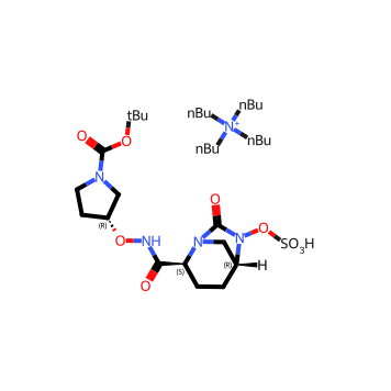 CC(C)(C)OC(=O)N1CC[C@@H](ONC(=O)[C@@H]2CC[C@@H]3CN2C(=O)N3OS(=O)(=O)O)C1.CCCC[N+](CCCC)(CCCC)CCCC